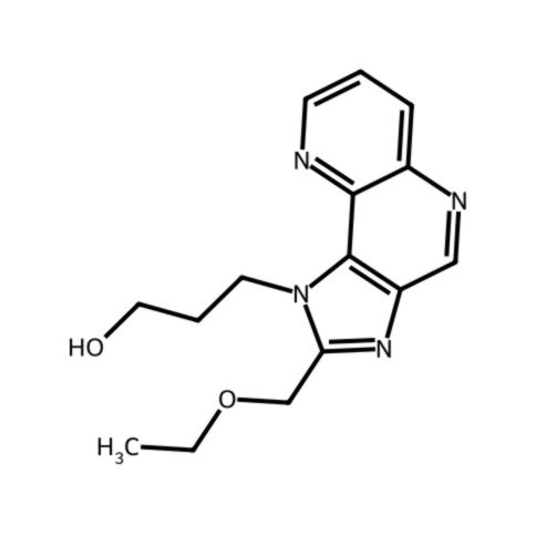 CCOCc1nc2cnc3cccnc3c2n1CCCO